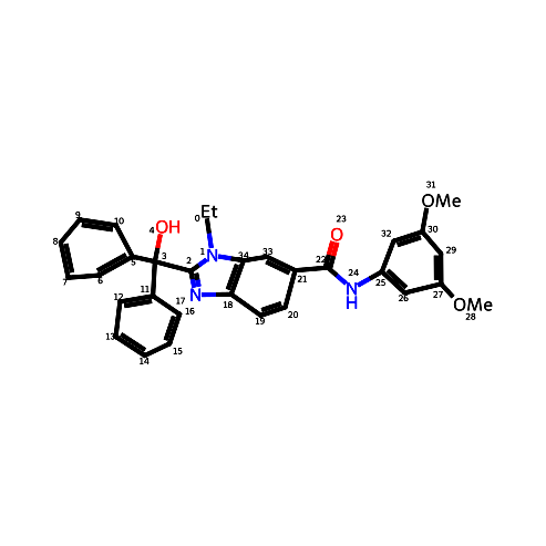 CCn1c(C(O)(c2ccccc2)c2ccccc2)nc2ccc(C(=O)Nc3cc(OC)cc(OC)c3)cc21